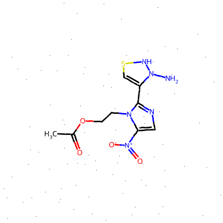 CC(=O)OCCn1c([N+](=O)[O-])cnc1C1=CSNN1N